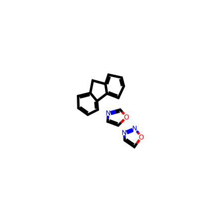 c1ccc2c(c1)Cc1ccccc1-2.c1cocn1.c1conn1